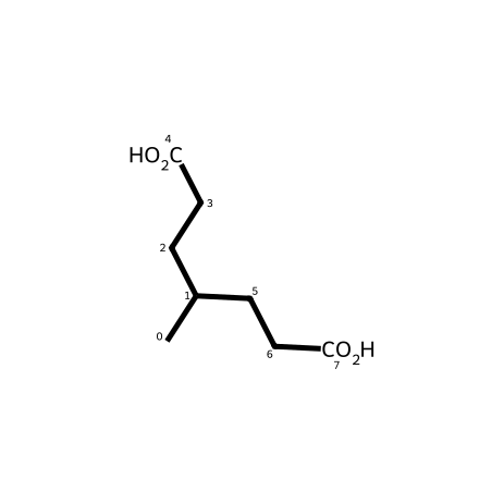 CC(CCC(=O)O)CCC(=O)O